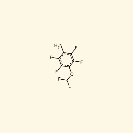 Nc1c(F)c(F)c(OC(F)F)c(F)c1F